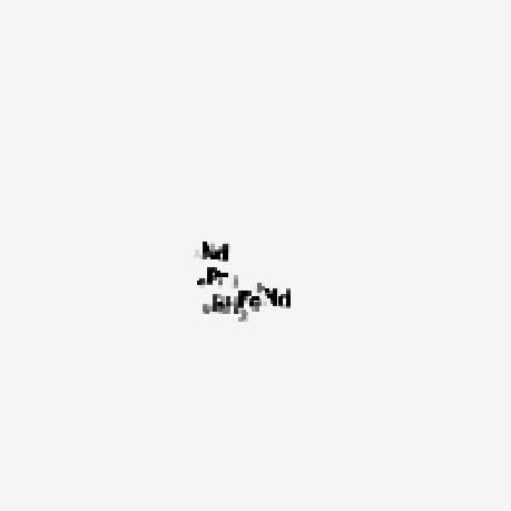 B.[Fe].[Nd].[Nd].[Pr]